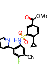 COC(=O)c1ccc(C2CC2)c(S(=O)(=O)Nc2cc(C#N)c(F)cc2-c2ccccn2)c1